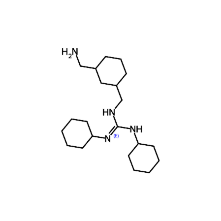 NCC1CCCC(CN/C(=N\C2CCCCC2)NC2CCCCC2)C1